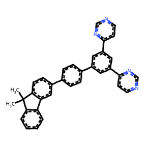 CC1(C)c2ccccc2-c2cc(-c3ccc(-c4cc(-c5ccncn5)cc(-c5ccncn5)c4)cc3)ccc21